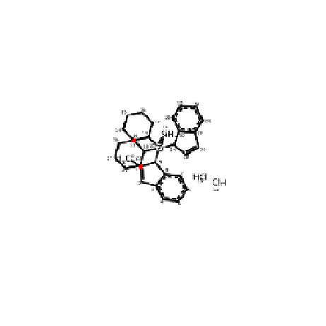 CC1=Cc2ccccc2[CH]1[Zr](=[SiH2])([CH]1CCCCC1)([CH]1CCCCC1)[CH]1C=Cc2ccccc21.Cl.Cl